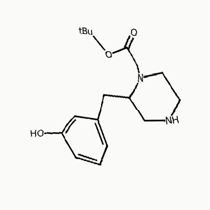 CC(C)(C)OC(=O)N1CCNCC1Cc1cccc(O)c1